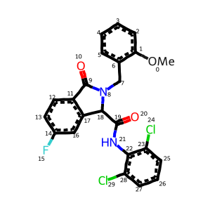 COc1ccccc1CN1C(=O)c2ccc(F)cc2C1C(=O)Nc1c(Cl)cccc1Cl